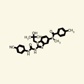 Cc1ccc(C(=O)N(C)c2ccc3c(c2)nc(NC(=O)Nc2ccc(C#N)cc2)n3CC(C)(C)O)cc1